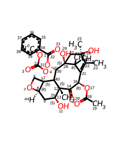 COC(=O)O[C@@]12CO[C@@H]1C[C@H](O)[C@@]1(C)C(=O)[C@H](OC(C)=O)C3=C(C)[C@](C)(O)C[C@@](O)([C@@H](OC(=O)c4ccccc4)C12)C3(C)C